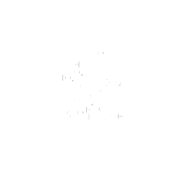 C[C@@H]1C[C@@H]2[C@H]([C@@H]3C(O[Si](C)(C)C(C)(C)C)[C@H](C)[C@@H](O)[C@]4(O)CC(=O)C=C4C13O[Si](C)(C)C)C2(C)C